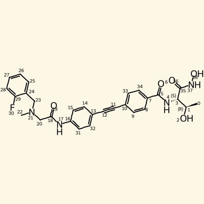 C[C@@H](O)[C@H](NC(=O)c1ccc(C#Cc2ccc(NC(=O)CN(C)Cc3ccccc3F)cc2)cc1)C(=O)NO